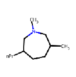 CCCC1CCC(C)CN(C)C1